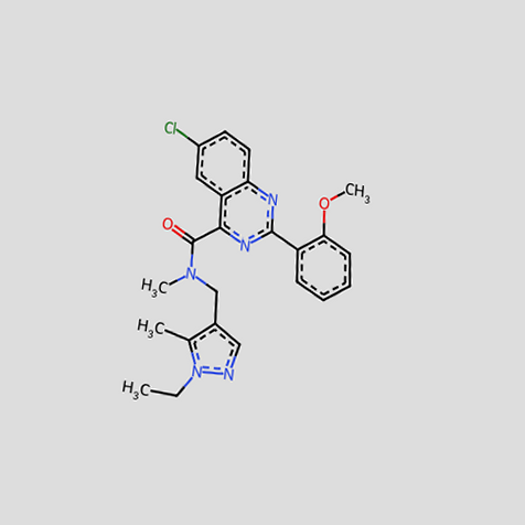 CCn1ncc(CN(C)C(=O)c2nc(-c3ccccc3OC)nc3ccc(Cl)cc23)c1C